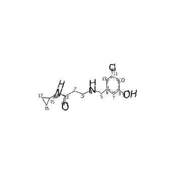 O=C(CCNCc1cc(O)cc(Cl)c1)NC1CC1